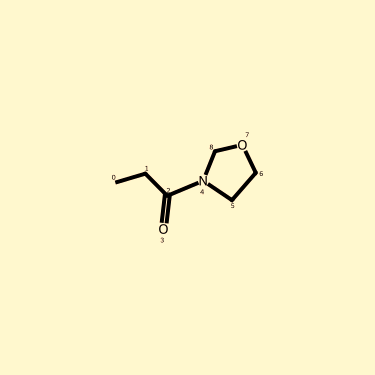 CCC(=O)N1CCOC1